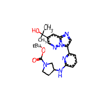 CC(C)(C)OC(=O)N1CCC(Nc2cccc(-c3cnc4cc(C(C)(C)O)cnn34)n2)C1